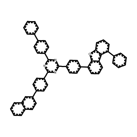 c1ccc(-c2ccc(-c3nc(-c4ccc(-c5ccc6ccccc6c5)cc4)nc(-c4ccc(-c5cccc6c5oc5cccc(-c7ccccc7)c56)cc4)n3)cc2)cc1